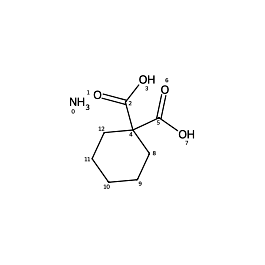 N.O=C(O)C1(C(=O)O)CCCCC1